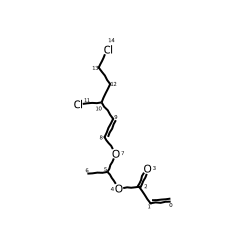 C=CC(=O)OC(C)OC=CC(Cl)CCCl